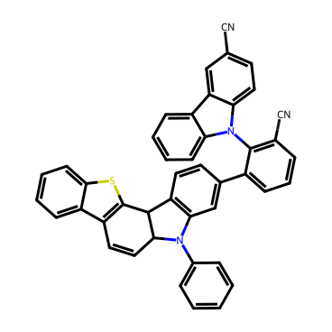 N#Cc1ccc2c(c1)c1ccccc1n2-c1c(C#N)cccc1-c1ccc2c(c1)N(c1ccccc1)C1C=Cc3c(sc4ccccc34)C21